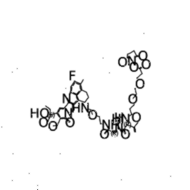 C=C(C)[C@@H](NC(=O)CCOCCOCCC(=O)ON1C(=O)CCC1=O)C(=O)N[C@H](C)C(=O)NCCOCNC1CCc2c(C)c(F)cc3nc4c(c1c23)Cn1c-4cc2c(c1=O)COC(=O)[C@]2(O)CC